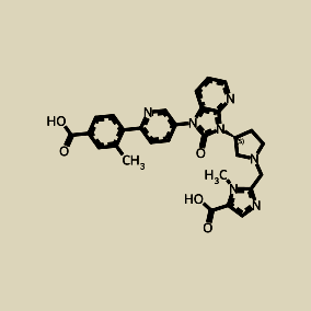 Cc1cc(C(=O)O)ccc1-c1ccc(-n2c(=O)n([C@H]3CCN(Cc4ncc(C(=O)O)n4C)C3)c3ncccc32)cn1